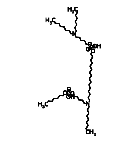 CCCCCCCCCN(CCCCCCCCCCCCCCCCOP(=O)(O)OCCCCCN(CCCCCCCC)CCCCCCCC)CCCCCOP(=O)(O)OCCCCCCC